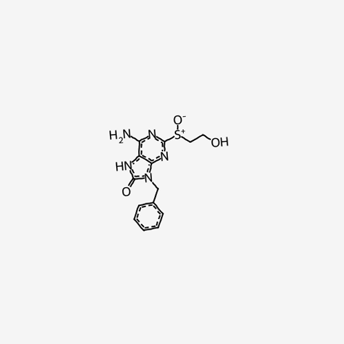 Nc1nc([S+]([O-])CCO)nc2c1[nH]c(=O)n2Cc1ccccc1